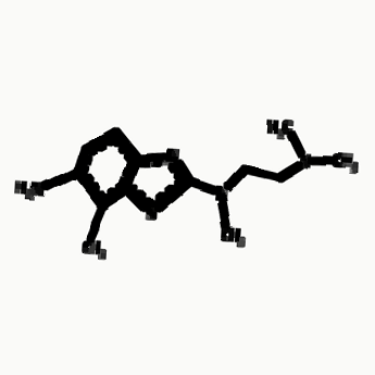 Cc1c(N)ccc2nc(N(C)CCN(C)C)sc12